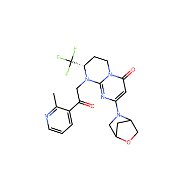 Cc1ncccc1C(=O)CN1c2nc(N3CC4CC3CO4)cc(=O)n2CC[C@H]1C(F)(F)F